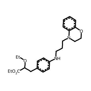 CCOC(=O)C(Cc1ccc(NCCCN2CCOc3ccccc32)cc1)OCC